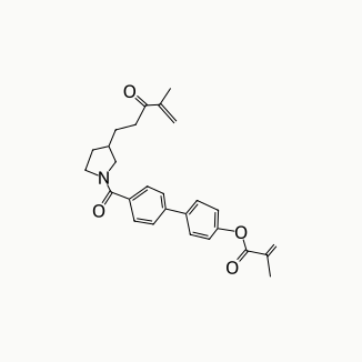 C=C(C)C(=O)CCC1CCN(C(=O)c2ccc(-c3ccc(OC(=O)C(=C)C)cc3)cc2)C1